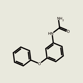 NC(=O)Nc1cccc(Oc2ccccc2)c1